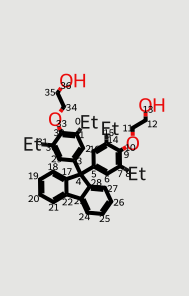 CCc1cc(C2(c3cc(CC)c(OCCO)c(CC)c3)c3ccccc3-c3ccccc32)cc(CC)c1OCCO